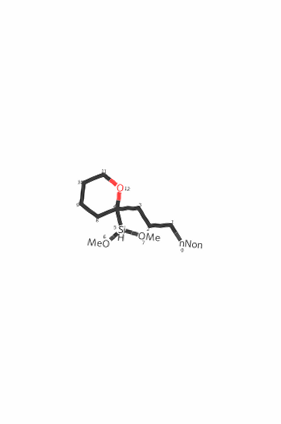 CCCCCCCCCCCCC1([SiH](OC)OC)CCCCO1